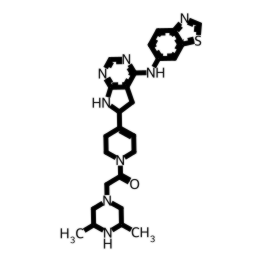 CC1CN(CC(=O)N2CC=C(C3Cc4c(Nc5ccc6ncsc6c5)ncnc4N3)CC2)CC(C)N1